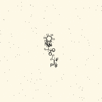 CC(C(=O)OCCC(F)=C(F)F)n1nc2ccccc2n1